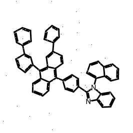 c1ccc(-c2cccc(-c3c4ccccc4c(-c4ccc(-c5nc6ccccc6n5-c5cccc6ccccc56)cc4)c4ccc(-c5ccccc5)cc34)c2)cc1